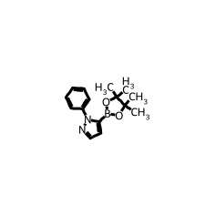 CC1(C)OB(c2ccnn2-c2ccccc2)OC1(C)C